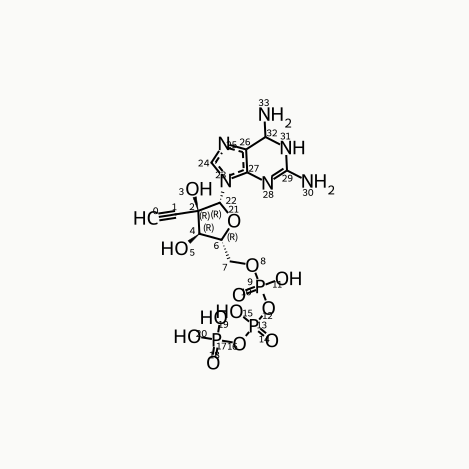 C#C[C@@]1(O)[C@H](O)[C@@H](COP(=O)(O)OP(=O)(O)OP(=O)(O)O)O[C@H]1n1cnc2c1N=C(N)NC2N